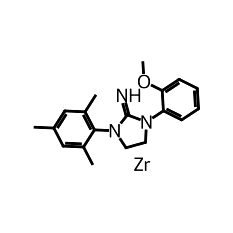 COc1ccccc1N1CCN(c2c(C)cc(C)cc2C)C1=N.[Zr]